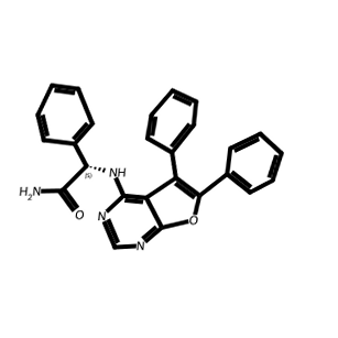 NC(=O)[C@@H](Nc1ncnc2oc(-c3ccccc3)c(-c3ccccc3)c12)c1ccccc1